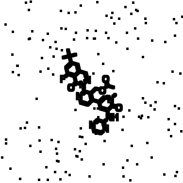 CC(=O)OCc1c(-c2cc(Nc3cnccn3)c(=O)n(C)c2)ccnc1-n1ncc2cc(C(C)(C)C)cc(F)c2c1=O